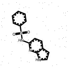 O=S(=O)(Nc1ccc2cc[nH]c2n1)c1ccccc1